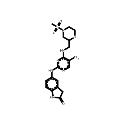 CS(=O)(=O)N1CCOC(CNc2nc(Nc3ccc4c(c3)CC(=O)N4)ncc2C(F)(F)F)C1